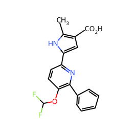 Cc1[nH]c(-c2ccc(OC(F)F)c(-c3ccccc3)n2)cc1C(=O)O